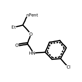 CCCCCC(CC)OC(=O)Nc1cccc(Cl)c1